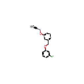 C#CCOc1cccc(COc2cccc(F)c2)c1